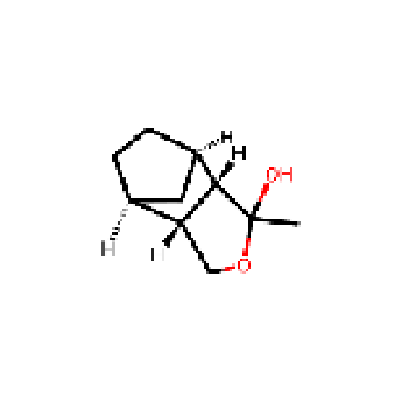 CC1(O)OC[C@@H]2[C@H]3CC[C@H](C3)[C@@H]21